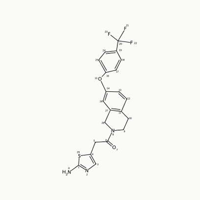 Nc1ncc(CC(=O)N2CCc3ccc(Oc4ccc(C(F)(F)F)cc4)cc3C2)s1